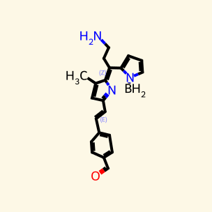 Bn1cccc1/C(CCN)=C1N=C(/C=C/c2ccc(C=O)cc2)C=C\1C